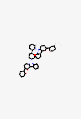 N#Cc1ccc2oc3c(ccc4c3c3ccccc3n4-c3c(C#N)cccc3-c3ccc(-n4c5ccccc5c5c6oc7ccccc7c6ccc54)cc3)c2c1